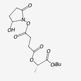 CC(C)COC(=O)[C@H](C)OC(=O)CCC(=O)ON1C(=O)CCC1O